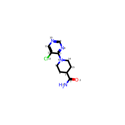 NC(=O)C1CCN(c2ncncc2Cl)CC1